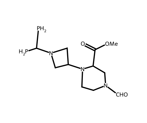 COC(=O)C1CN(C=O)CCN1C1CN(C(P)P)C1